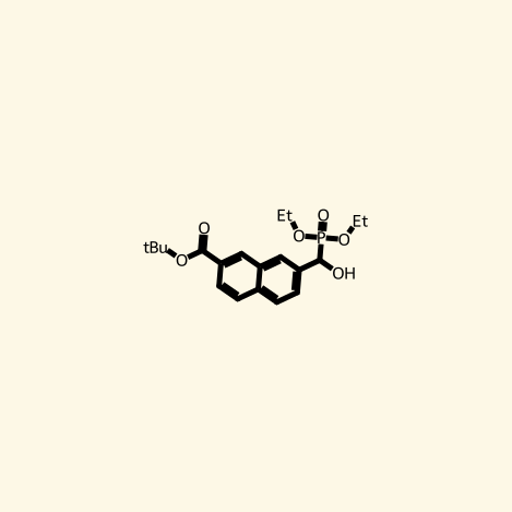 CCOP(=O)(OCC)C(O)c1ccc2ccc(C(=O)OC(C)(C)C)cc2c1